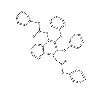 O=C(Oc1ccccc1)Oc1c(Oc2ccccc2)c(Oc2ccccc2)c(OC(=O)Oc2ccccc2)c2ccccc12